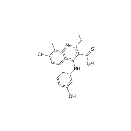 CCc1nc2c(C)c(Cl)ccc2c(Nc2cccc(O)c2)c1C(=O)O